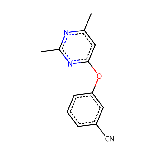 Cc1cc(Oc2cccc(C#N)c2)nc(C)n1